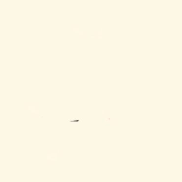 COC(=O)CCC/C=C\C[C@H]1C(=O)C[C@@H](CO)[C@@H]1/C=C/C(O)CCc1sc2ccccc2c1Cl